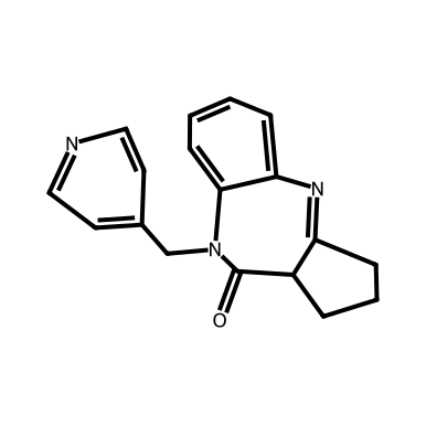 O=C1C2CCCC2=Nc2ccccc2N1Cc1ccncc1